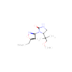 COCc1cc(N2C(=O)NCC2C(C)(C)COC=O)no1